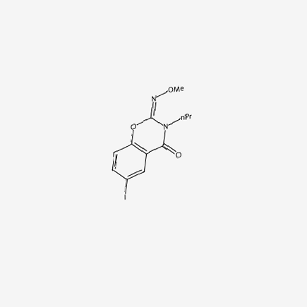 CCCn1c(=NOC)oc2ccc(I)cc2c1=O